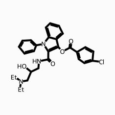 CCN(CC)CC(O)CNC(=O)c1c(OC(=O)c2ccc(Cl)cc2)c2ccccc2n1-c1ccccc1